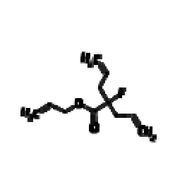 C=CCOC(=O)C(F)(CC=C)CC=C